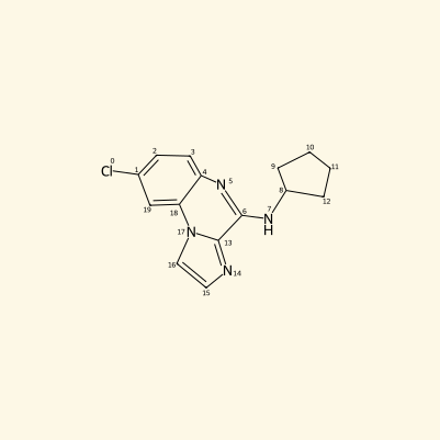 Clc1ccc2nc(NC3CCCC3)c3nccn3c2c1